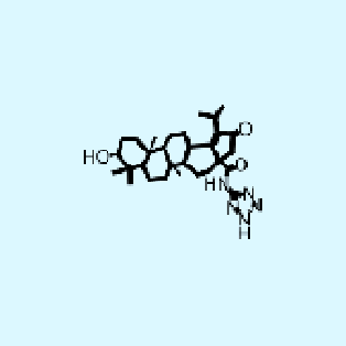 CC(C)C1=C2C3CCC4[C@@](C)(CCC5C(C)(C)[C@@H](O)CC[C@@]54C)C3CCC2(C(=O)Nc2nn[nH]n2)CC1=O